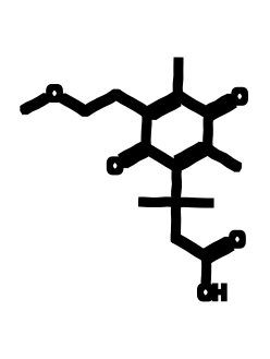 COCCC1=C(C)C(=O)C(C)=C(C(C)(C)CC(=O)O)C1=O